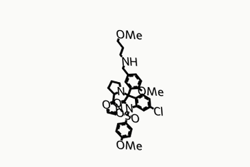 COCCCNCc1ccc(OC)c(C2(N3CCCC3c3ncco3)C(=O)N(S(=O)(=O)c3ccc(OC)cc3)c3cc(Cl)ccc32)c1